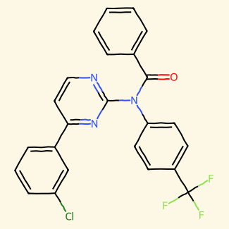 O=C(c1ccccc1)N(c1ccc(C(F)(F)F)cc1)c1nccc(-c2cccc(Cl)c2)n1